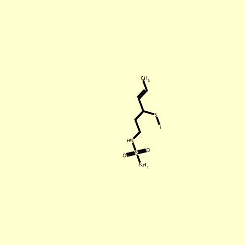 CC=CC(CCNS(N)(=O)=O)SI